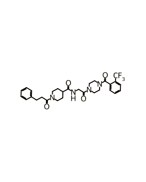 O=C(NCC(=O)N1CCN(C(=O)c2ccccc2C(F)(F)F)CC1)C1CCN(C(=O)CCc2ccccc2)CC1